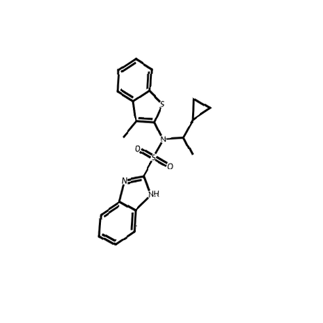 Cc1c(N(C(C)C2CC2)S(=O)(=O)c2nc3ccccc3[nH]2)sc2ccccc12